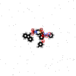 Cc1ccc(Oc2ccc(C3(CC(=O)NOC4CCCCO4)CCN(C(=O)OCC4c5ccccc5-c5ccccc54)CCS3(=O)=O)cc2)cc1